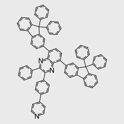 c1ccc(-c2nc3c(-c4ccc5c(c4)C(c4ccccc4)(c4ccccc4)c4ccccc4-5)ccc(-c4ccc5c(c4)C(c4ccccc4)(c4ccccc4)c4ccccc4-5)c3nc2-c2ccc(-c3ccncc3)cc2)cc1